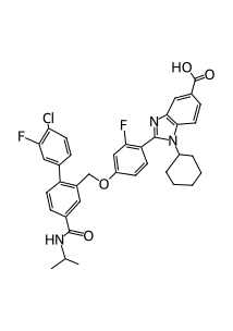 CC(C)NC(=O)c1ccc(-c2ccc(Cl)c(F)c2)c(COc2ccc(-c3nc4cc(C(=O)O)ccc4n3C3CCCCC3)c(F)c2)c1